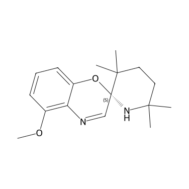 COc1cccc2c1N=C[C@@]1(NC(C)(C)CCC1(C)C)O2